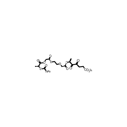 CCCC(=O)OC(C)C(=O)OCC(=O)OCCOCC(=O)OC(C)C(=O)C(=O)CCC(=O)O